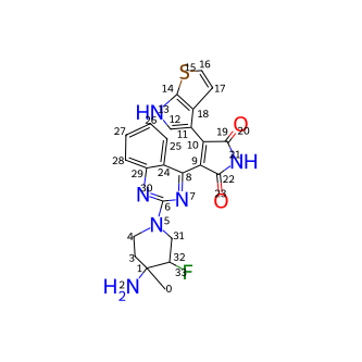 CC1(N)CCN(c2nc(C3=C(c4c[nH]c5sccc45)C(=O)NC3=O)c3ccccc3n2)CC1F